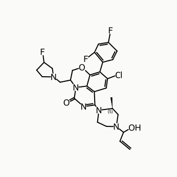 C=CC(O)N1CCN(c2nc(=O)n3c4c(c(-c5ccc(F)cc5F)c(Cl)cc24)OCC3CN2CCC(F)C2)[C@@H](C)C1